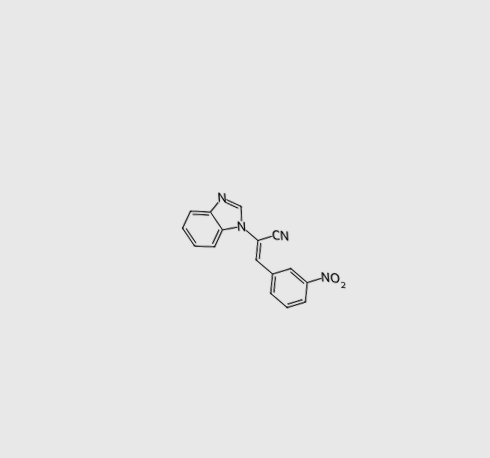 N#CC(=Cc1cccc([N+](=O)[O-])c1)n1cnc2ccccc21